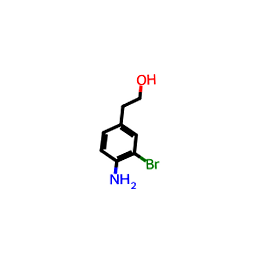 Nc1ccc(CCO)cc1Br